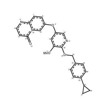 COc1cc(Oc2ccc3nccc(=O)n3c2)cnc1OCc1ccc(C2CC2)cc1